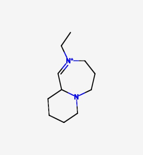 CC[N+]1=CC2CCCCN2CCC1